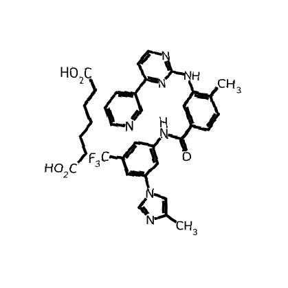 Cc1cn(-c2cc(NC(=O)c3ccc(C)c(Nc4nccc(-c5cccnc5)n4)c3)cc(C(F)(F)F)c2)cn1.O=C(O)CCCCCC(=O)O